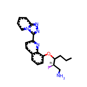 CCCC(Oc1cccc2ccc(-c3nnc4ccccn34)nc12)[C@H](I)CN